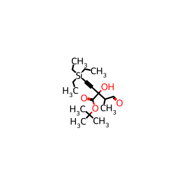 CC[Si](C#CC(O)(C(=O)OC(C)(C)C)C(C)C=O)(CC)CC